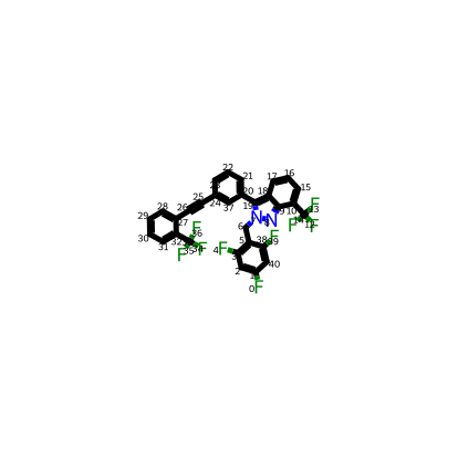 Fc1cc(F)c(Cn2nc3c(C(F)(F)F)cccc3c2-c2cccc(C#Cc3ccccc3C(F)(F)F)c2)c(F)c1